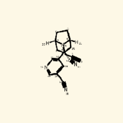 C#CCN1[C@@H]2CC[C@H]1C[C@](C#N)(c1cncc(C#N)c1)C2